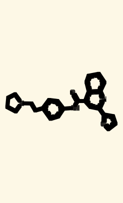 O=C(Nc1ccc(CCN2CCCC2)cc1)c1cc(-c2ccco2)nc2ccccc12